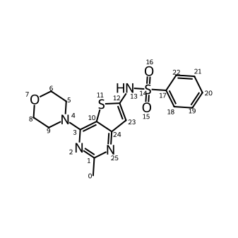 Cc1nc(N2CCOCC2)c2sc(NS(=O)(=O)c3ccccc3)cc2n1